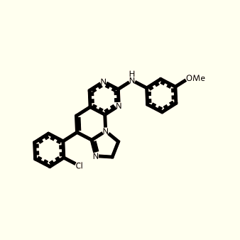 COc1cccc(Nc2ncc3c(n2)N2CCN=C2C(c2ccccc2Cl)=C3)c1